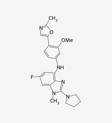 COc1cc(Nc2cc(F)cc3c2nc(N2CCCC2)n3C)ccc1-c1cnc(C)o1